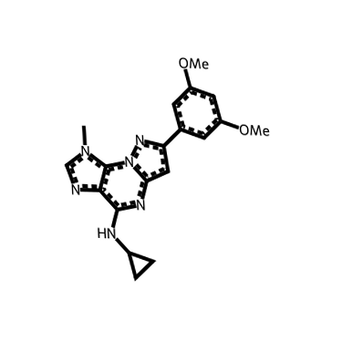 COc1cc(OC)cc(-c2cc3nc(NC4CC4)c4ncn(C)c4n3n2)c1